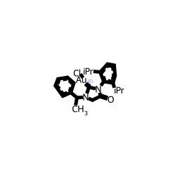 CC(C)c1cccc(C(C)C)c1N1C(=O)CN(C(C)c2ccccc2)/[C]1=[Au]\[Cl]